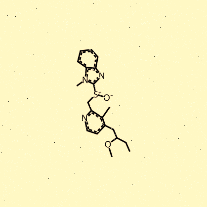 CCC(Cc1ccnc(C[S+]([O-])c2nc3ccccc3n2C)c1C)OC